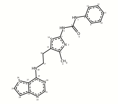 Cc1nc(NC(=O)Nc2ccccc2)sc1CCNc1ncnc2ccsc12